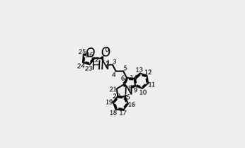 O=C(NCCCc1c2n(c3ccccc13)-c1ccccc1C2)c1ccco1